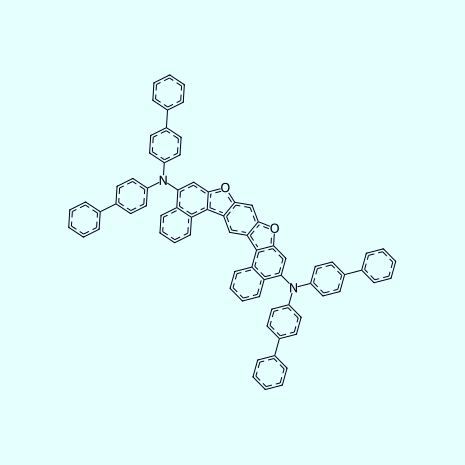 c1ccc(-c2ccc(N(c3ccc(-c4ccccc4)cc3)c3cc4oc5cc6oc7cc(N(c8ccc(-c9ccccc9)cc8)c8ccc(-c9ccccc9)cc8)c8ccccc8c7c6cc5c4c4ccccc34)cc2)cc1